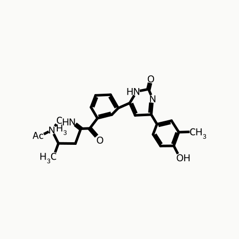 CC(=O)N(C)C(C)CC(=N)C(=O)c1cccc(-c2cc(-c3ccc(O)c(C)c3)nc(=O)[nH]2)c1